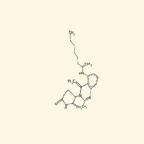 C=C(CCCCCC)Nc1cccc2c1C(=C)N(C1CCC(=O)NC1=C)C(C)=N2